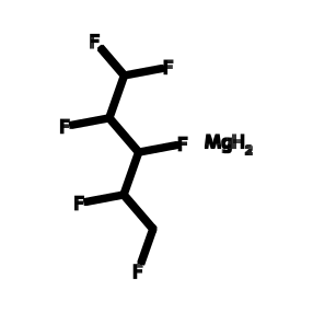 FCC(F)C(F)C(F)C(F)F.[MgH2]